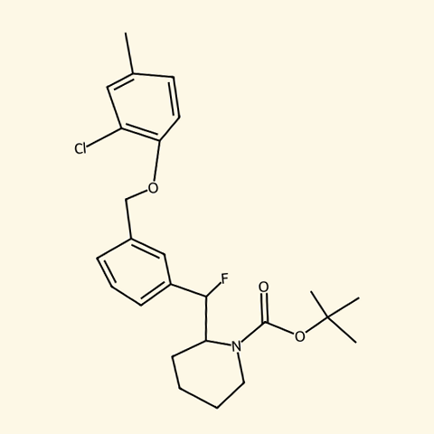 Cc1ccc(OCc2cccc(C(F)C3CCCCN3C(=O)OC(C)(C)C)c2)c(Cl)c1